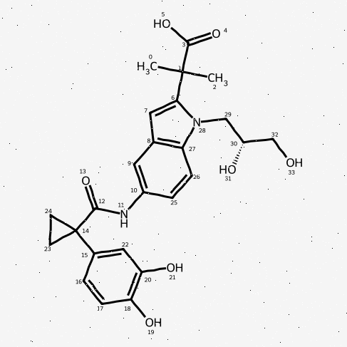 CC(C)(C(=O)O)c1cc2cc(NC(=O)C3(c4ccc(O)c(O)c4)CC3)ccc2n1C[C@@H](O)CO